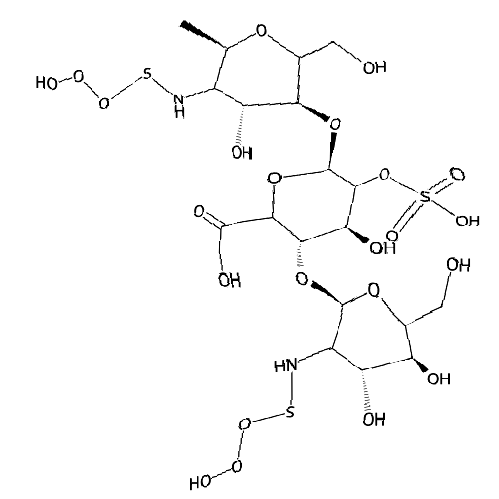 C[C@H]1OC(CO)[C@@H](O[C@@H]2OC(C(=O)O)[C@@H](O[C@H]3OC(CO)[C@@H](O)[C@H](O)C3NSOOO)[C@H](O)C2OS(=O)(=O)O)[C@H](O)C1NSOOO